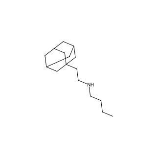 CCCCNCCC12CC3CC(CC(C3)C1)C2